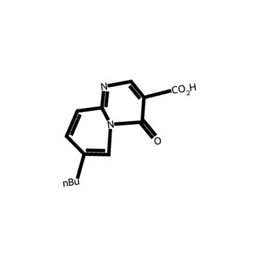 CCCCc1ccc2ncc(C(=O)O)c(=O)n2c1